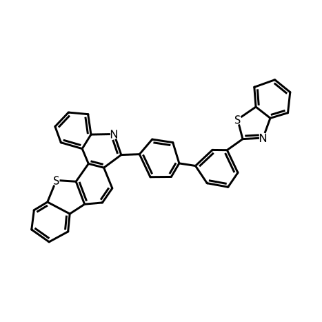 c1cc(-c2ccc(-c3nc4ccccc4c4c3ccc3c5ccccc5sc34)cc2)cc(-c2nc3ccccc3s2)c1